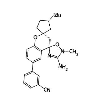 CN1O[C@@]2(C[C@@]3(CCC(C(C)(C)C)C3)Oc3ccc(-c4cccc(C#N)c4)cc32)N=C1N